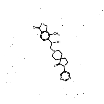 Cc1c([C@@H](O)CN2CCC3(CC2)CCN(c2cncnc2)C3=O)ccc2c1COC2=O